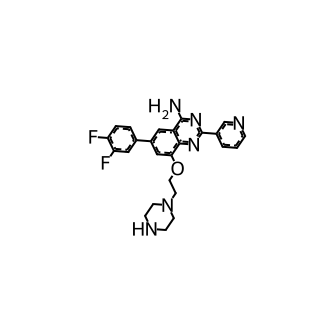 Nc1nc(-c2cccnc2)nc2c(OCCN3CCNCC3)cc(-c3ccc(F)c(F)c3)cc12